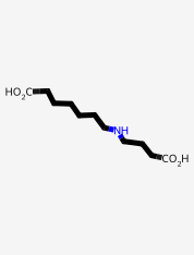 O=C(O)CCCCCCNCCCC(=O)O